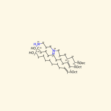 CCCCCCCCC=CCCCCCCCC(=O)O.CCCCCCCCC=CCCCCCCCC(=O)O.CCCCCCCCCCCCCCCCNCCCN